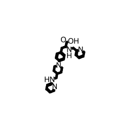 O=C(O)C(Cc1ccc(N2CCC(CNc3ccccn3)CC2)cc1)NCc1ccccn1